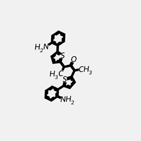 CC(C(=O)C(C)c1ccc(-c2ccccc2N)s1)c1ccc(-c2ccccc2N)s1